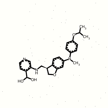 CC(C)Oc1ccc(N(C)c2ccc3c(c2)OC[C@H]3CNc2cnccc2C(O)O)cc1